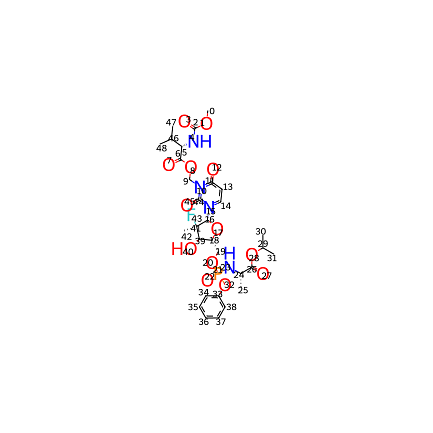 COC(=O)N[C@H](C(=O)OCn1c(=O)ccn([C@@H]2O[C@H](COP(=O)(N[C@@H](C)C(=O)OC(C)C)Oc3ccccc3)[C@@H](O)[C@@]2(C)F)c1=O)C(C)C